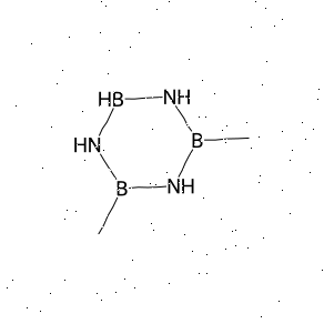 CB1NBNB(C)N1